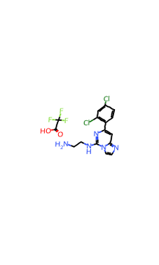 NCCNc1nc(-c2ccc(Cl)cc2Cl)cc2nccn12.O=C(O)C(F)(F)F